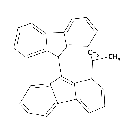 CC(C)C1C=CC=C2C1=C(C1c3ccccc3-c3ccccc31)c1ccccc12